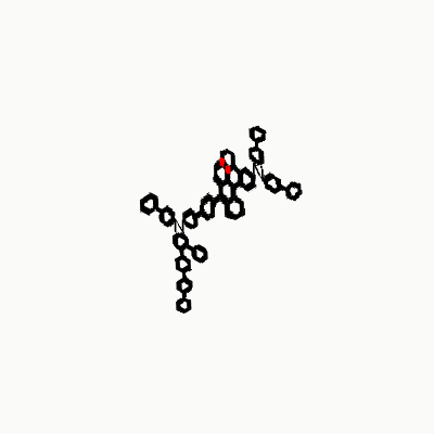 C1=Cc2c(c(-c3ccc(N(c4ccc(-c5ccccc5)cc4)c4ccc(-c5ccccc5)cc4)cc3-c3ccccc3)c3ccccc3c2-c2ccc(-c3ccc(N(c4ccc(-c5ccccc5)cc4)c4ccc(-c5ccc(-c6ccc(-c7ccccc7)cc6)cc5)c(-c5ccccc5)c4)cc3)cc2)CC1